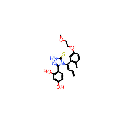 C=C/C=C(\c1cc(OCCOC)ccc1C)n1c(-c2ccc(O)cc2O)n[nH]c1=S